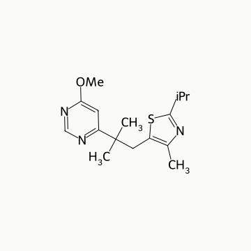 COc1cc(C(C)(C)Cc2sc(C(C)C)nc2C)ncn1